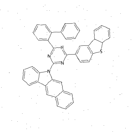 C1=CC2Sc3ccc(-c4nc(-c5ccccc5-c5ccccc5)nc(-n5c6ccccc6c6cc7ccccc7cc65)n4)cc3C2C=C1